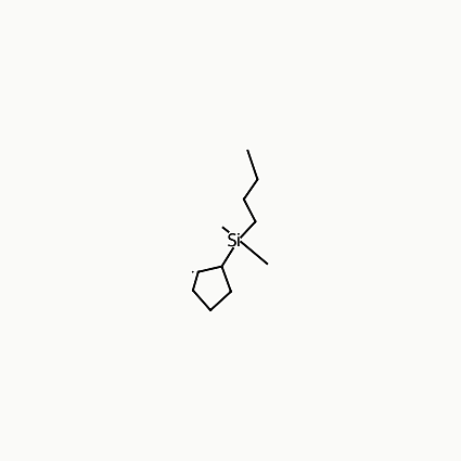 CCCC[Si](C)(C)C1[CH]CCC1